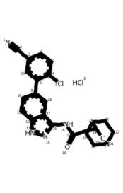 Cl.N#Cc1ccc(Cl)c(-c2ccc3[nH]nc(NC(=O)C4CN5CCC4CC5)c3c2)c1